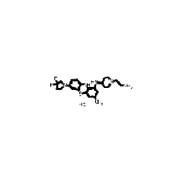 Cl.NCCN1CCC(Nc2cc(C(F)(F)F)cc3c2Nc2ccc(N4CCC(F)(F)C4)cc2S3)CC1